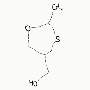 CC1OCC(CO)S1